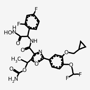 CC(OC(N)=O)c1oc(-c2ccc(OC(F)F)c(OCC3CC3)c2)nc1C(=O)NC(C(=O)NO)c1ccc(F)cc1F